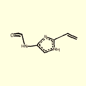 C=Cc1nc(NC=O)c[nH]1